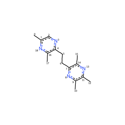 Cc1cnc(CCc2nc(C)c(C)nc2C)c(C)n1